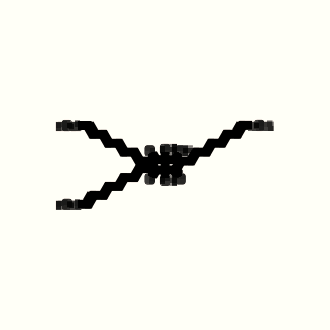 CCCCCCCCC=CCCCCCCCC(=O)C(O)(CO)C(O)(C(=O)CCCCCCCC=CCCCCCCCC)C(=O)CCCCCCCC=CCCCCCCCC